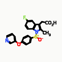 Cc1c(CC(=O)O)c2cc(F)ccc2n1[S+]([O-])c1ccc(Oc2cccnc2)cc1